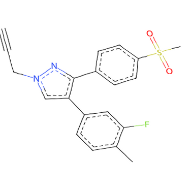 C#CCn1cc(-c2ccc(C)c(F)c2)c(-c2ccc(S(C)(=O)=O)cc2)n1